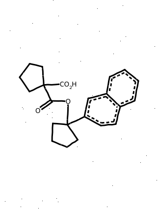 O=C(O)C1(C(=O)OC2(c3ccc4ccccc4c3)CCCC2)CCCC1